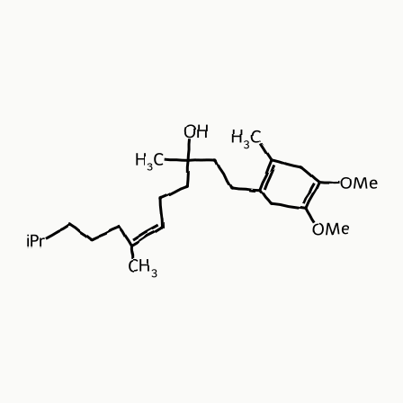 COC1=C(OC)CC(CCC(C)(O)CCC=C(C)CCCC(C)C)=C(C)C1